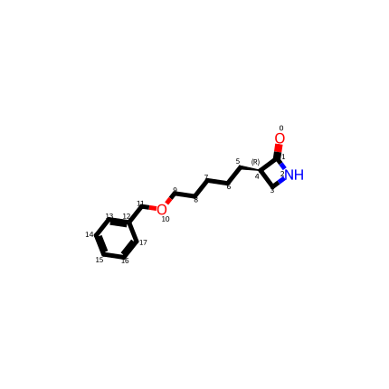 O=C1NC[C@H]1CCCCCOCc1ccccc1